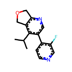 CC(C)c1c(-c2ccncc2F)cnc2c1COC2